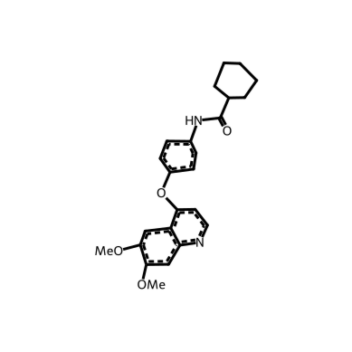 COc1cc2nccc(Oc3ccc(NC(=O)C4CCCCC4)cc3)c2cc1OC